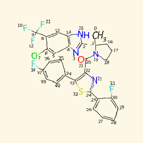 CC1(c2nc3cc(Cl)c(C(F)(F)F)cc3[nH]2)CCCN1C(=O)c1nc(-c2ccccc2F)sc1-c1ccc(F)cc1